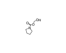 O=C(OCO)N1CCCC1